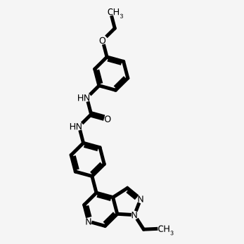 CCOc1cccc(NC(=O)Nc2ccc(-c3cncc4c3cnn4CC)cc2)c1